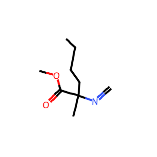 C=NC(C)(CCCC)C(=O)OC